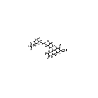 CNC(=S)Nc1ccc(C)c(OCCOc2cc(-c3c4cc(F)c(=O)cc-4oc4cc(O)c(F)cc34)ccc2C)c1